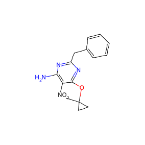 CC1(Oc2nc(Cc3ccccc3)nc(N)c2[N+](=O)[O-])CC1